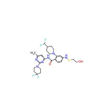 Cc1cc(NC(=O)c2ccc(NSCCO)cc2N2CCC(C(F)F)CC2)nc(N2CCC(F)(F)CC2)n1